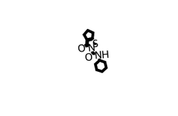 O=C(NC1CCCCC1)n1sc2c(c1=O)CCC2